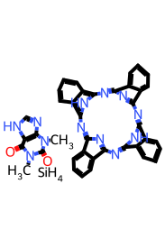 Cn1c(=O)c2[nH]cnc2n(C)c1=O.[SiH4].c1ccc2c(c1)-c1nc-2nc2[nH]c(nc3nc(nc4[nH]c(n1)c1ccccc41)-c1ccccc1-3)c1ccccc21